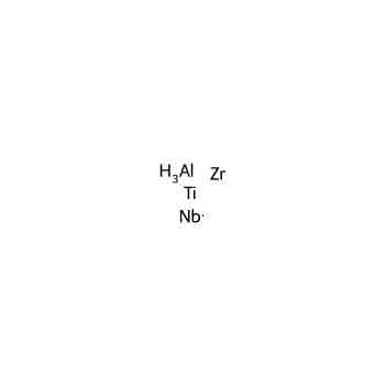 [AlH3].[Nb].[Ti].[Zr]